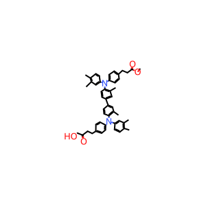 COC(=O)CCc1ccc(N(c2ccc(C)c(C)c2)c2ccc(-c3ccc(N(c4ccc(CCC(=O)CO)cc4)c4ccc(C)c(C)c4)c(C)c3)cc2C)cc1